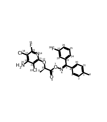 Cc1ccc(/C(=N/OC(=O)[C@@H](C)Oc2nc(F)c(Cl)c(N)c2Cl)c2cccc(F)c2)cc1